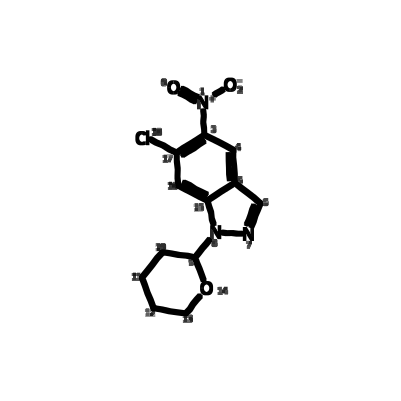 O=[N+]([O-])c1cc2cnn(C3CCCCO3)c2cc1Cl